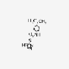 CC(C)c1ccc(NC(=O)CSc2nnc[nH]2)cc1